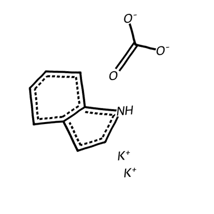 O=C([O-])[O-].[K+].[K+].c1ccc2[nH]ccc2c1